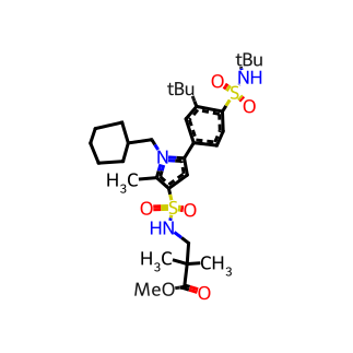 COC(=O)C(C)(C)CNS(=O)(=O)c1cc(-c2ccc(S(=O)(=O)NC(C)(C)C)c(C(C)(C)C)c2)n(CC2CCCCC2)c1C